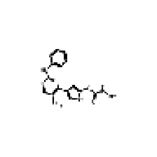 CCCNC(=O)Oc1cc(-c2nc(Nc3ccccc3)ncc2C)c[nH]1